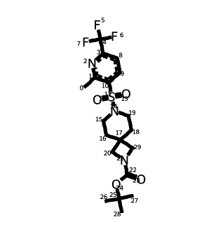 Cc1nc(C(F)(F)F)ccc1S(=O)(=O)N1CCC2(CC1)CN(C(=O)OC(C)(C)C)C2